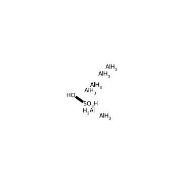 O=S(=O)(O)O.[AlH3].[AlH3].[AlH3].[AlH3].[AlH3].[AlH3]